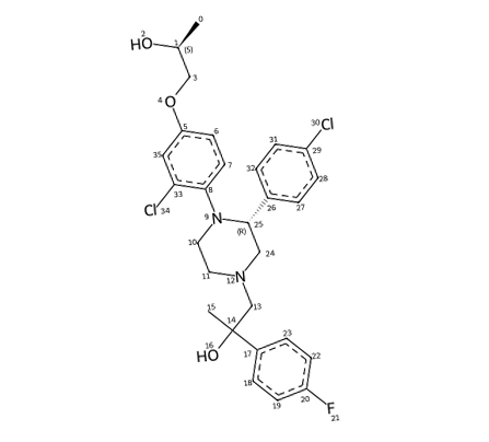 C[C@H](O)COc1ccc(N2CCN(CC(C)(O)c3ccc(F)cc3)C[C@H]2c2ccc(Cl)cc2)c(Cl)c1